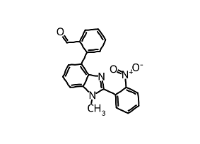 Cn1c(-c2ccccc2[N+](=O)[O-])nc2c(-c3ccccc3C=O)cccc21